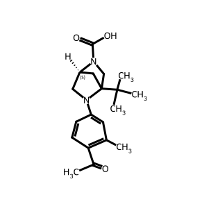 CC(=O)c1ccc(N2C[C@@H]3CC2(C(C)(C)C)CN3C(=O)O)cc1C